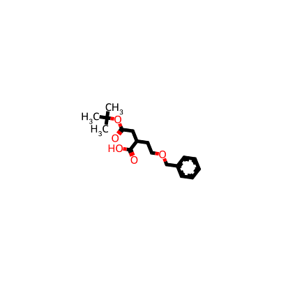 CC(C)(C)OC(=O)CC(CCOCc1ccccc1)C(=O)O